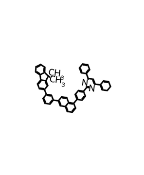 CC1(C)c2ccccc2-c2ccc(-c3cccc(-c4ccc5c(-c6ccc(-c7nc(C8=CCCC=C8)cc(-c8ccccc8)n7)cc6)cccc5c4)c3)cc21